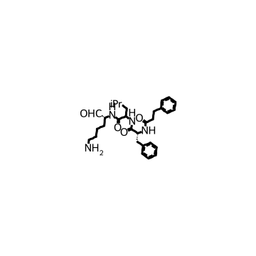 CC(C)CC(NC(=O)[C@@H](Cc1ccccc1)NC(=O)CCc1ccccc1)C(=O)N[C@@H](C=O)CCCCN